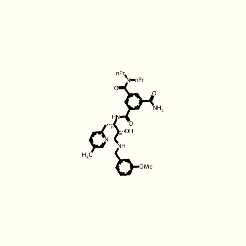 CCCN(CCC)C(=O)c1cc(C(N)=O)cc(C(=O)N[C@@H](Cc2ccc(C)cn2)[C@H](O)CNCc2cccc(OC)c2)c1